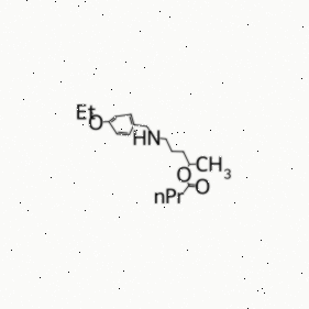 CCCC(=O)OC(C)CCCNCc1ccc(OCC)cc1